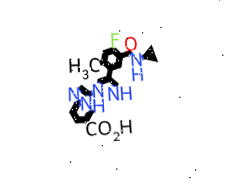 Cc1cc(F)c(C(=O)NC2CC2)cc1/C(C=N)=C/Nc1cnc2ccc(C(=O)O)cn12